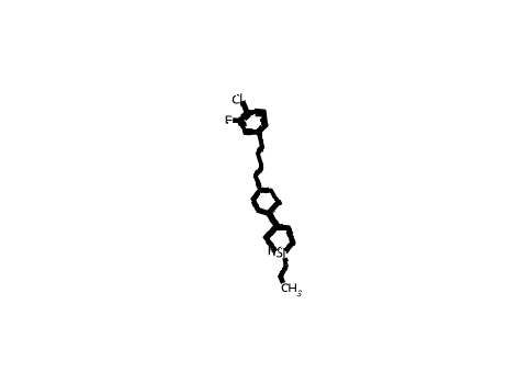 CCC[SiH]1CCC(C2CCC(CCCCc3ccc(Cl)c(F)c3)CC2)CC1